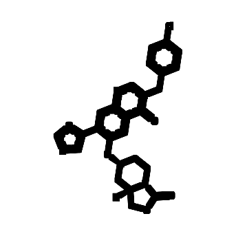 O=C1OC[C@@H]2C[C@@H](Oc3cc4c(=O)n(Cc5ccc(Cl)cc5)cnc4cc3-c3cnco3)CCN12